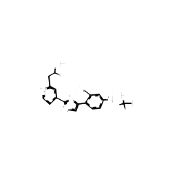 CC(C)Cc1cc(-c2nc(-c3ccc(NSC(F)(F)F)cc3Cl)c[nH]2)ccn1